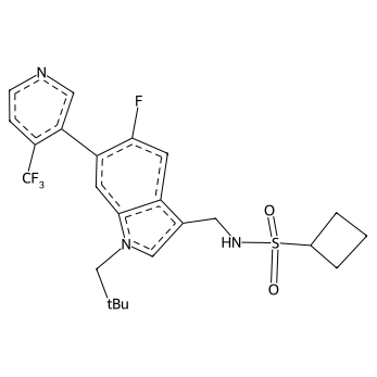 CC(C)(C)Cn1cc(CNS(=O)(=O)C2CCC2)c2cc(F)c(-c3cnccc3C(F)(F)F)cc21